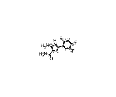 NC(=O)c1cc(-c2cc(F)c(F)cc2F)[nH]c1N